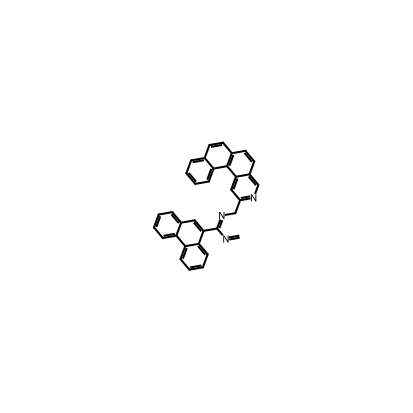 C=N/C(=N\Cc1cc2c(ccc3ccc4ccccc4c32)cn1)c1cc2ccccc2c2ccccc12